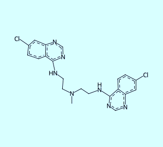 CN(CCNc1ncnc2cc(Cl)ccc12)CCNc1ncnc2cc(Cl)ccc12